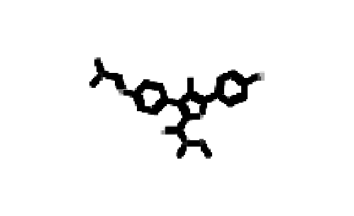 CON(C)C(=O)c1sc(-c2ccc(Cl)cc2)c(C)c1-c1ccc(/N=C/N(C)C)cc1